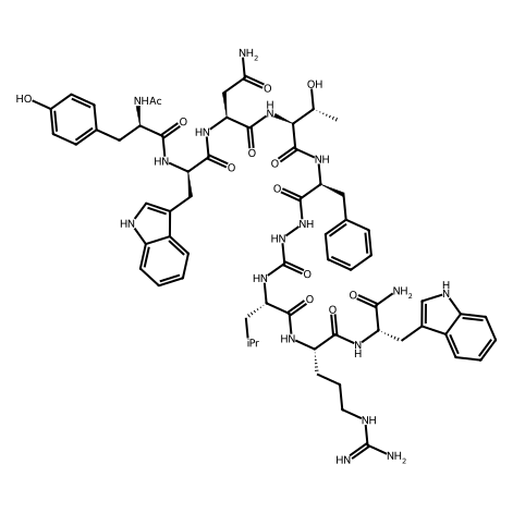 CC(=O)N[C@H](Cc1ccc(O)cc1)C(=O)N[C@H](Cc1c[nH]c2ccccc12)C(=O)N[C@@H](CC(N)=O)C(=O)N[C@H](C(=O)N[C@@H](Cc1ccccc1)C(=O)NNC(=O)N[C@@H](CC(C)C)C(=O)N[C@@H](CCCNC(=N)N)C(=O)N[C@@H](Cc1c[nH]c2ccccc12)C(N)=O)[C@@H](C)O